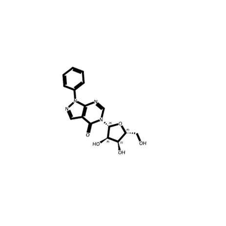 O=c1c2cnn(-c3ccccc3)c2ncn1[C@@H]1O[C@H](CO)[C@@H](O)[C@H]1O